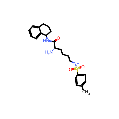 Cc1ccc(S(=O)(=O)NCCCC[C@H](N)C(=O)NC2CCCc3ccccc32)cc1